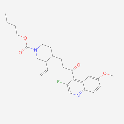 C=CC1CN(C(=O)OCCCC)CCC1CCC(=O)c1c(F)cnc2ccc(OC)cc12